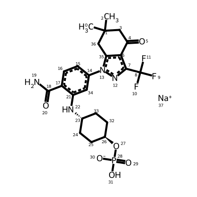 CC1(C)CC(=O)c2c(C(F)(F)F)nn(-c3ccc(C(N)=O)c(N[C@H]4CC[C@H](OP(=O)([O-])O)CC4)c3)c2C1.[Na+]